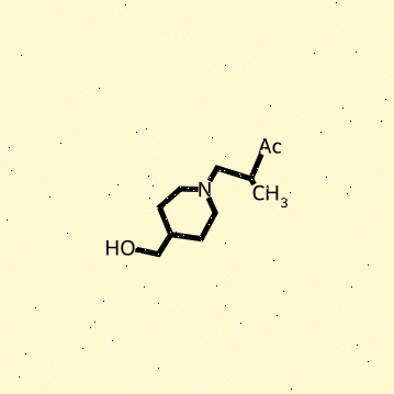 CC(=O)C(C)CN1CCC(CO)CC1